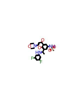 CC(Nc1cc(F)cc(F)c1)c1cc(NS(C)(=O)=O)cc2c(=O)cc(N3CCOCC3)oc12